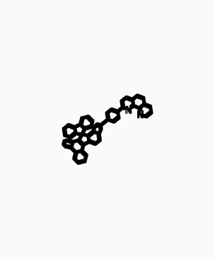 c1ccc2c(c1)-c1ccccc1C21c2c(ccc3cc(-c4ccc(-c5ccc6ccc7cccnc7c6n5)cc4)ccc23)-c2c1c1ccccc1c1ccccc21